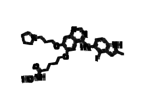 Cc1cc2c(F)c(Nc3ncnc4cc(OCCCN5CCCC5)c(OCCCCC(=O)NO)cc34)ccc2[nH]1